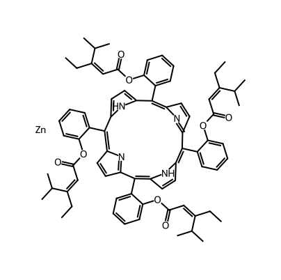 CCC(=CC(=O)Oc1ccccc1-c1c2nc(c(-c3ccccc3OC(=O)C=C(CC)C(C)C)c3ccc([nH]3)c(-c3ccccc3OC(=O)C=C(CC)C(C)C)c3nc(c(-c4ccccc4OC(=O)C=C(CC)C(C)C)c4ccc1[nH]4)C=C3)C=C2)C(C)C.[Zn]